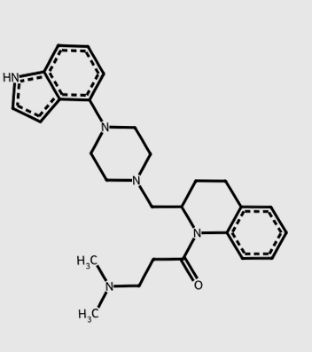 CN(C)CCC(=O)N1c2ccccc2CCC1CN1CCN(c2cccc3[nH]ccc23)CC1